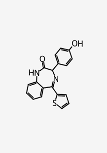 O=C1Nc2ccccc2C(c2cccs2)=NC1c1ccc(O)cc1